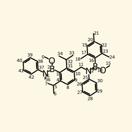 COB(c1c(C(C)C)ccc(CN(B(OC)c2c(C)cc(C)cc2C)c2ccccc2)c1C(C)C)N(C)c1ccccc1